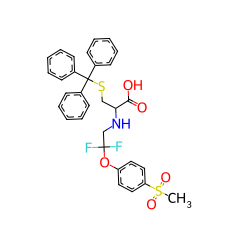 CS(=O)(=O)c1ccc(OC(F)(F)CNC(CSC(c2ccccc2)(c2ccccc2)c2ccccc2)C(=O)O)cc1